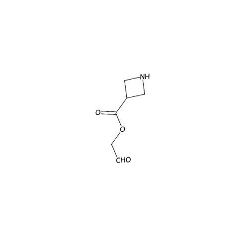 O=CCOC(=O)C1CNC1